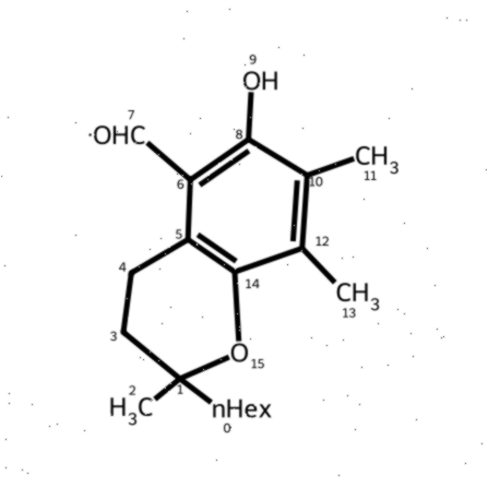 CCCCCCC1(C)CCc2c([C]=O)c(O)c(C)c(C)c2O1